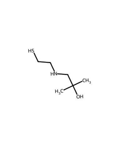 CC(C)(O)CNCCS